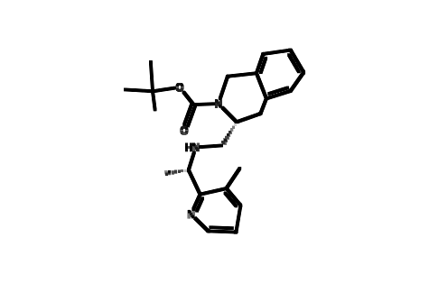 Cc1cccnc1[C@H](C)NC[C@H]1Cc2ccccc2CN1C(=O)OC(C)(C)C